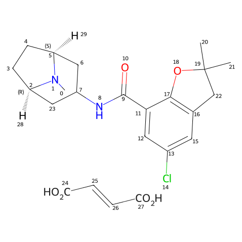 CN1[C@@H]2CC[C@H]1CC(NC(=O)c1cc(Cl)cc3c1OC(C)(C)C3)C2.O=C(O)C=CC(=O)O